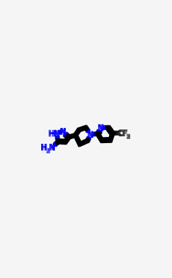 Nc1cc(C2CCN(c3ccc(C(F)(F)F)cn3)CC2)n[nH]1